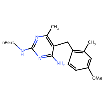 CCCCCNc1nc(C)c(Cc2ccc(OC)cc2C)c(N)n1